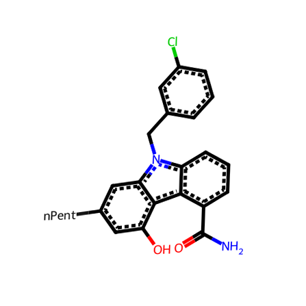 CCCCCc1cc(O)c2c3c(C(N)=O)cccc3n(Cc3cccc(Cl)c3)c2c1